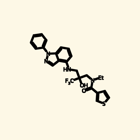 CCN(CC(O)(CNc1cccc2c1cnn2-c1ccccc1)C(F)(F)F)C(=O)c1ccsc1